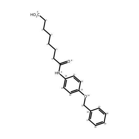 O=C(O)CCCCCCC(=O)Nc1ccc(OCc2ccccc2)cc1